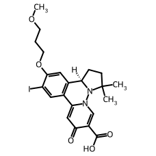 COCCCOc1cc2c(cc1I)-c1cc(=O)c(C(=O)O)cn1N1[C@@H]2CCC1(C)C